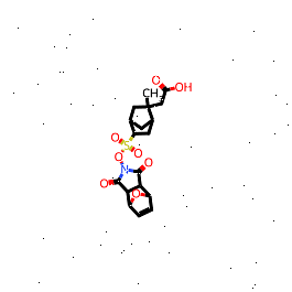 CC1(CC(=O)O)CC2CC1CC2S(=O)(=O)ON1C(=O)C2C3C=CC(O3)C2C1=O